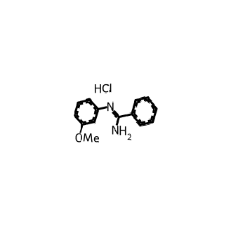 COc1cccc(N=C(N)c2ccccc2)c1.Cl